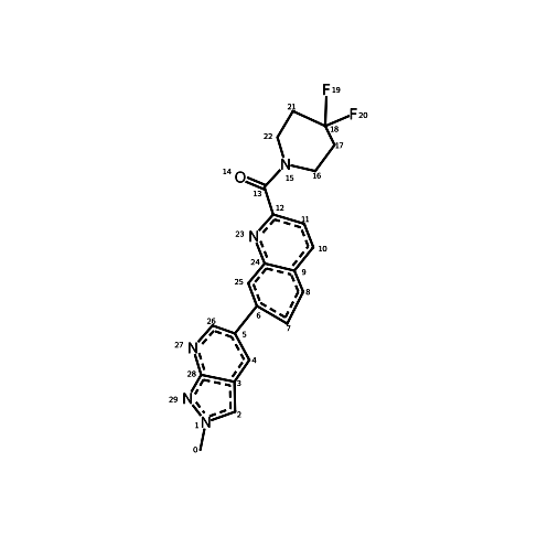 Cn1cc2cc(-c3ccc4ccc(C(=O)N5CCC(F)(F)CC5)nc4c3)cnc2n1